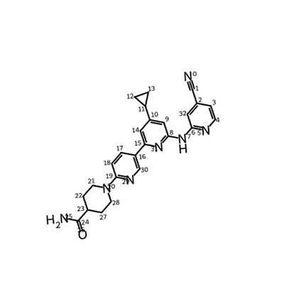 N#Cc1ccnc(Nc2cc(C3CC3)cc(-c3ccc(N4CCC(C(N)=O)CC4)nc3)n2)c1